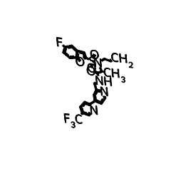 C=CCN([C@@H](C)C(=O)NCc1cc(-c2ccc(C(F)(F)F)cn2)ccn1)S(=O)(=O)c1cc2cc(F)ccc2o1